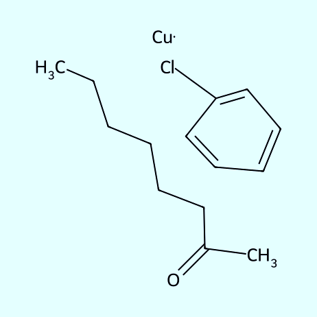 CCCCCCC(C)=O.Clc1ccccc1.[Cu]